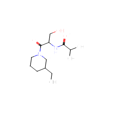 CCC1CCCN(C(=O)C(CO)NC(=O)C(C)C)C1